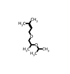 CC(C)=CCOCC(C)OC(C)C